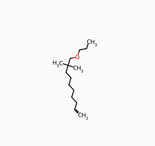 C=CCCCCCCC(C)(C)COCCC